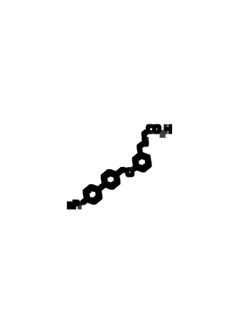 CCCc1ccc(-c2ccc(COc3cccc(CSCC(=O)O)c3)cc2)cc1